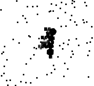 Cc1cccc(-n2nc(Cn3cc(-c4ccc(Cl)cc4)n(CC(O)C(F)(F)F)c3=O)nc2C(C)O)c1